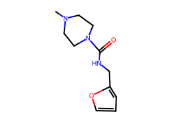 CN1CCN(C(=O)NCc2ccco2)CC1